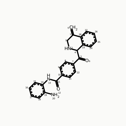 C=C1CNC(C(=O)c2ccc(C(=O)Nc3ccccc3N)cc2)c2ccccc21